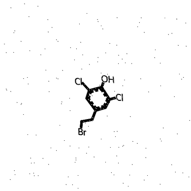 Oc1c(Cl)cc(CCBr)cc1Cl